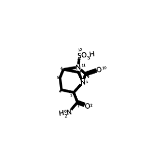 NC(=O)C1CCC2CN1C(=O)N2S(=O)(=O)O